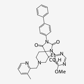 CCC1(C(=O)O)CN(Cc2ncccc2C)CCC12C(=O)N(c1ccc(-c3ccccc3)cc1)C(=O)N2c1cc(OC)ncn1